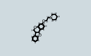 c1ccc2c(c1)OC1c3ccc(OCCN4CCCCC4)cc3OCC21